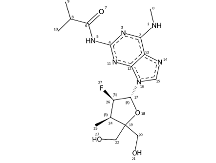 CNc1nc(NC(=O)C(C)C)nc2c1ncn2[C@@H]1OC(CO)(CO)[C@@H](C)[C@H]1F